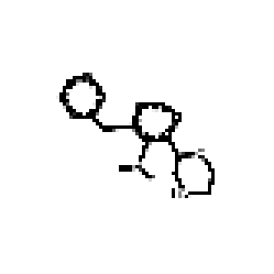 CN(C)c1c(Cc2ccccc2)[c]ccc1C1CNCCO1